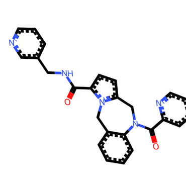 O=C(NCc1cccnc1)c1ccc2n1Cc1ccccc1N(C(=O)c1ccccn1)C2